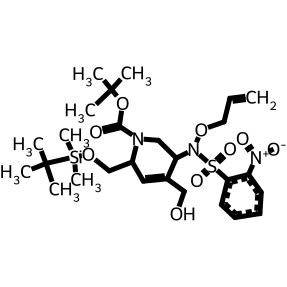 C=CCON(C1CN(C(=O)OC(C)(C)C)C(CO[Si](C)(C)C(C)(C)C)C=C1CO)S(=O)(=O)c1ccccc1[N+](=O)[O-]